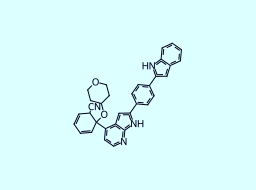 N#CC1C=CC=CC1(OC1CCOCC1)c1ccnc2[nH]c(-c3ccc(-c4cc5ccccc5[nH]4)cc3)cc12